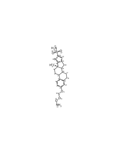 C[C@]12CCC3c4ccc(OSOON)cc4CCC3C1Cc1cn(S(N)(=O)=O)nc12